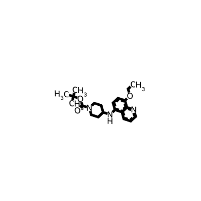 CCOc1ccc(NC2CCN(C(=O)OC(C)(C)C)CC2)c2cccnc12